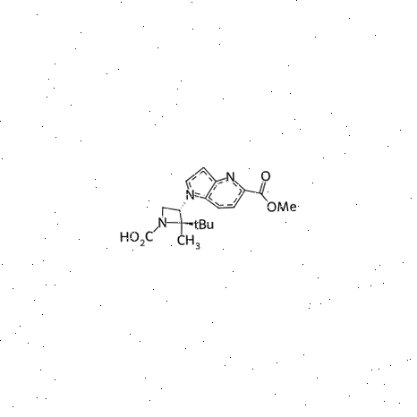 COC(=O)c1ccc2c(ccn2[C@H]2CN(C(=O)O)[C@]2(C)C(C)(C)C)n1